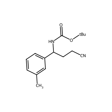 Cc1cccc(C(CCC#N)NC(=O)OC(C)(C)C)c1